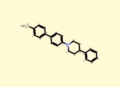 O=C(O)c1ccc(-c2ccc(N3CCC(c4ccccc4)CC3)cc2)cc1